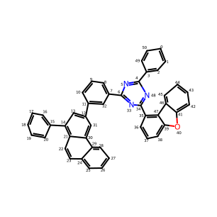 c1ccc(-c2nc(-c3cccc(-c4cc(-c5ccccc5)c5ccc6ccccc6c5c4)c3)nc(-c3cccc4oc5ccccc5c34)n2)cc1